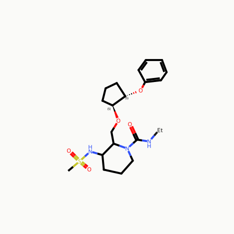 CCNC(=O)N1CCCC(NS(C)(=O)=O)C1CO[C@H]1CCC[C@@H]1Oc1ccccc1